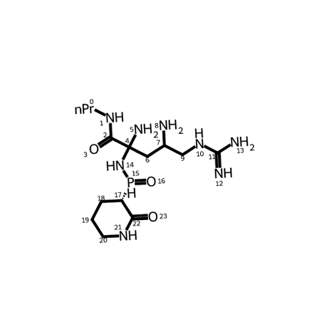 CCCNC(=O)C(N)(CC(N)CNC(=N)N)N[PH](=O)[C@H]1CCCNC1=O